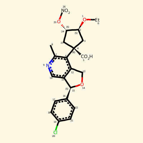 CCO[C@H]1C[C@](C(=O)O)(c2c(C)ncc3c2CO[C@H]3c2ccc(Cl)cc2)C[C@@H]1O[N+](=O)[O-]